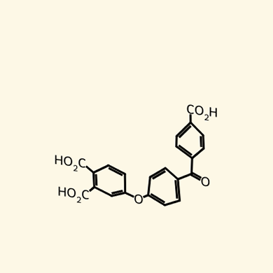 O=C(O)c1ccc(C(=O)c2ccc(Oc3ccc(C(=O)O)c(C(=O)O)c3)cc2)cc1